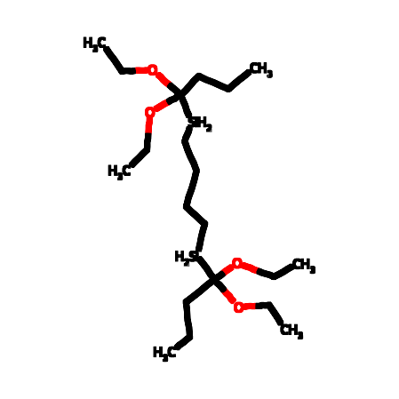 CCCC(OCC)(OCC)[SiH2]CCCC[SiH2]C(CCC)(OCC)OCC